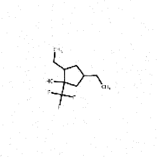 CCC1CC(CC)C(O)(C(F)(F)F)C1